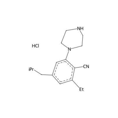 CCc1cc(CC(C)C)cc(N2CCNCC2)c1C#N.Cl